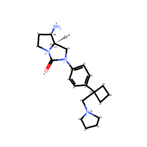 N[C@@H]1CCN2C(=O)N(c3ccc(C4(CN5CCCC5)CCC4)cc3)C[C@H]12